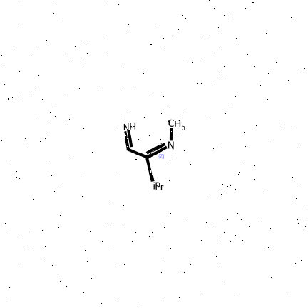 C/N=C(\C=N)C(C)C